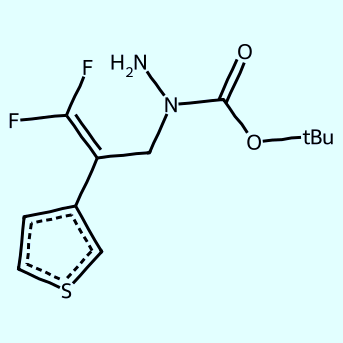 CC(C)(C)OC(=O)N(N)CC(=C(F)F)c1ccsc1